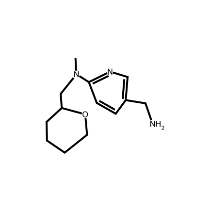 CN(CC1CCCCO1)c1ccc(CN)cn1